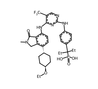 CCO[C@H]1CC[C@H](c2ccc(Nc3nc(Nc4ccc(C(CC)(CC)P(=O)(O)O)cc4)ncc3C(F)(F)F)c3c2CN(C)C3=O)CC1